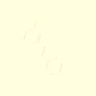 Oc1ccc(C=Cc2cc(F)cc(F)c2)cc1